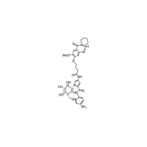 COc1cc2c(cc1OCCCC(=O)Nc1cc(C(=O)Nc3ccc(N)cc3)n([C@@H]3O[C@H](CO)[C@@H](O)[C@H](O)[C@H]3O)c1)N=C[C@@H]1CCCCN1C2=O